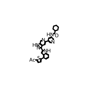 CC(=O)c1ccc(-c2cccc3[nH]c(-c4n[nH]c5cnc(-c6cncc(NC(=O)C7CCCCC7)c6)cc45)cc23)s1